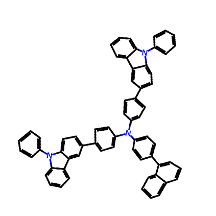 c1ccc(-n2c3ccccc3c3cc(-c4ccc(N(c5ccc(-c6ccc7c(c6)c6ccccc6n7-c6ccccc6)cc5)c5ccc(-c6cccc7ccccc67)cc5)cc4)ccc32)cc1